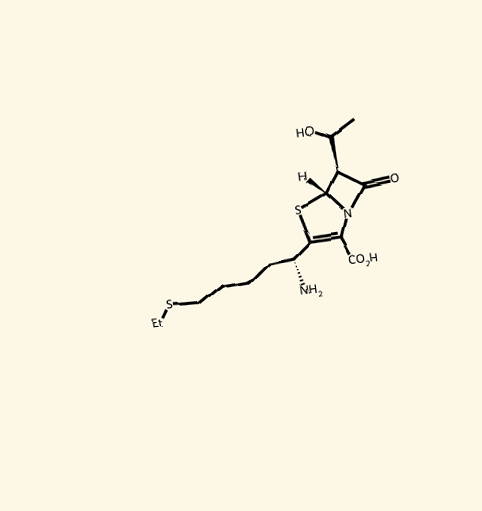 CCSCCCC[C@@H](N)C1=C(C(=O)O)N2C(=O)[C@H](C(C)O)[C@H]2S1